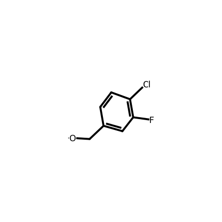 [O]Cc1ccc(Cl)c(F)c1